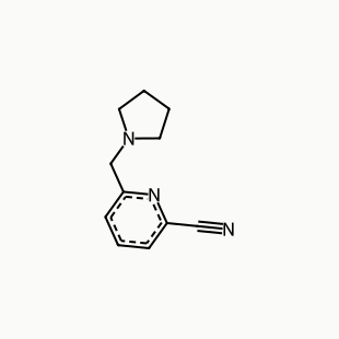 N#Cc1cccc(CN2CCCC2)n1